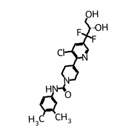 Cc1ccc(NC(=O)N2CC=C(c3ncc(C(F)(F)[C@@H](O)CO)cc3Cl)CC2)cc1C